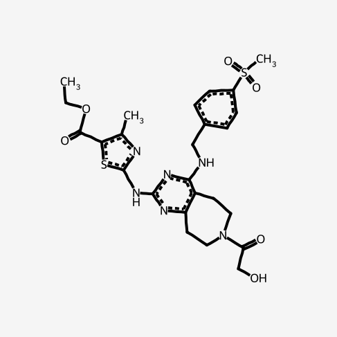 CCOC(=O)c1sc(Nc2nc3c(c(NCc4ccc(S(C)(=O)=O)cc4)n2)CCN(C(=O)CO)CC3)nc1C